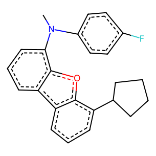 CN(c1ccc(F)cc1)c1cccc2c1oc1c(C3CCCC3)cccc12